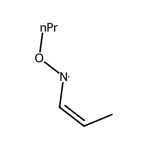 C/C=C\[N]OCCC